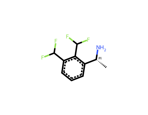 C[C@@H](N)c1cccc(C(F)F)c1C(F)F